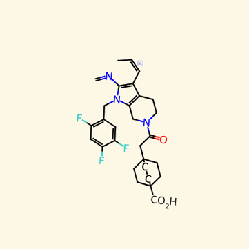 C=Nc1c(/C=C\C)c2c(n1Cc1cc(F)c(F)cc1F)CN(C(=O)CC13CCC(C(=O)O)(CC1)CC3)CC2